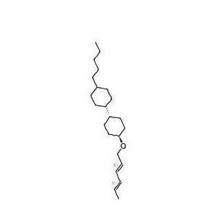 C/C=C/C=C/CO[C@H]1CC[C@H](C2CCC(CCCCC)CC2)CC1